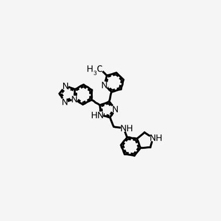 Cc1cccc(-c2nc(CNc3cccc4c3CNC4)[nH]c2-c2ccc3ncnn3c2)n1